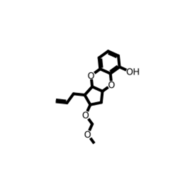 C=CCC1C(OCOC)CC2Oc3c(O)cccc3OC21